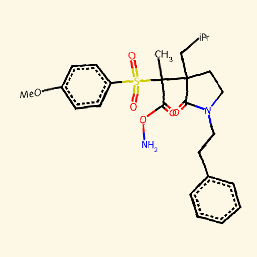 COc1ccc(S(=O)(=O)C(C)(C(=O)ON)C2(CC(C)C)CCN(CCc3ccccc3)C2=O)cc1